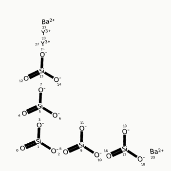 O=[Si]([O-])[O-].O=[Si]([O-])[O-].O=[Si]([O-])[O-].O=[Si]([O-])[O-].O=[Si]([O-])[O-].[Ba+2].[Ba+2].[Y+3].[Y+3]